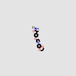 CCNC(=O)C(C)c1ccc(O[C@@H]2CCN(c3ccc4c(c3)OCCCO4)C2)cc1